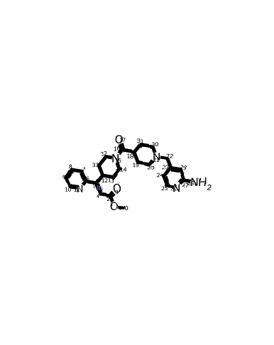 COC(=O)/C=C(/c1ccccn1)C1CCN(C(=O)C2CCN(Cc3ccnc(N)c3)CC2)CC1